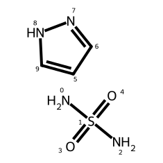 NS(N)(=O)=O.c1cn[nH]c1